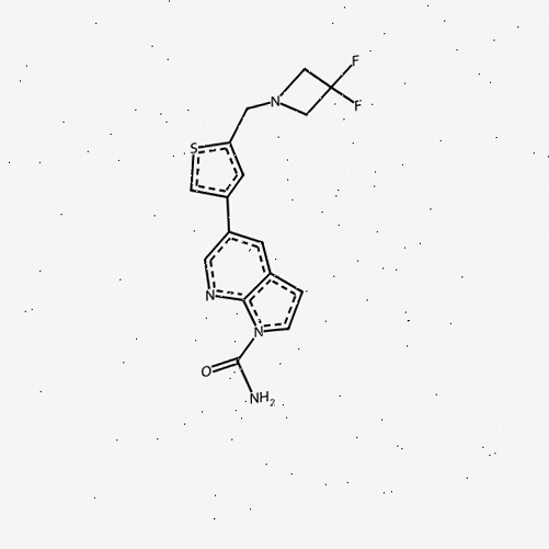 NC(=O)n1c[c]c2cc(-c3csc(CN4CC(F)(F)C4)c3)cnc21